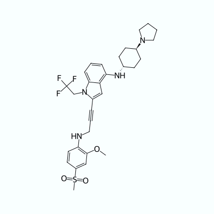 COc1cc(S(C)(=O)=O)ccc1NCC#Cc1cc2c(N[C@H]3CC[C@H](N4CCCC4)CC3)cccc2n1CC(F)(F)F